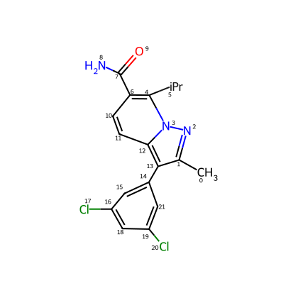 Cc1nn2c(C(C)C)c(C(N)=O)ccc2c1-c1cc(Cl)cc(Cl)c1